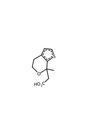 CC1(CC(=O)O)OCCc2ccsc21